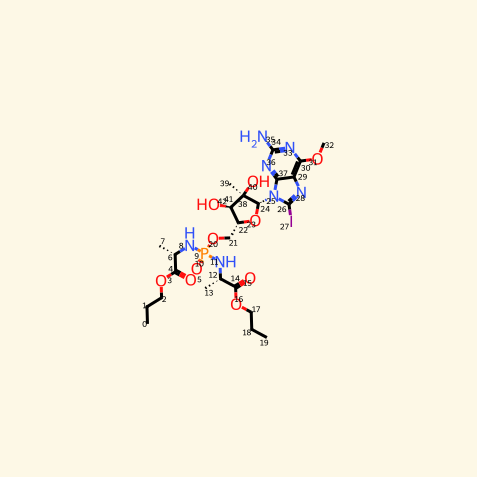 CCCOC(=O)[C@H](C)NP(=O)(N[C@@H](C)C(=O)OCCC)OC[C@H]1O[C@@H](n2c(I)nc3c(OC)nc(N)nc32)[C@](C)(O)[C@@H]1O